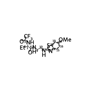 CCC(NC(=O)C(F)(F)F)C(=O)NCCNc1nc2ccc(OC)cc2s1